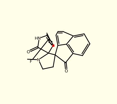 CN1CCC2(C(=O)c3cccc4cccc2c34)C12C(=O)Nc1ccc(F)cc12